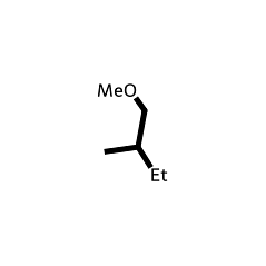 [CH]OCC(C)CC